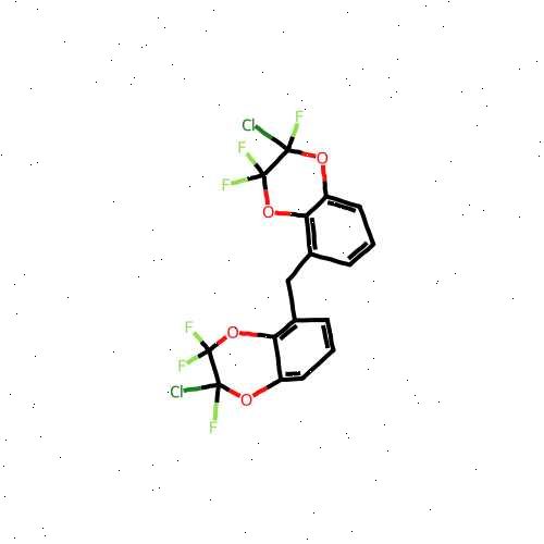 FC1(F)Oc2c(Cc3cccc4c3OC(F)(F)C(F)(Cl)O4)cccc2OC1(F)Cl